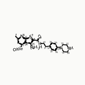 COc1cc(C)nc2sc(C(=O)NCCc3ccc(N4CCNCC4)cc3)c(N)c12